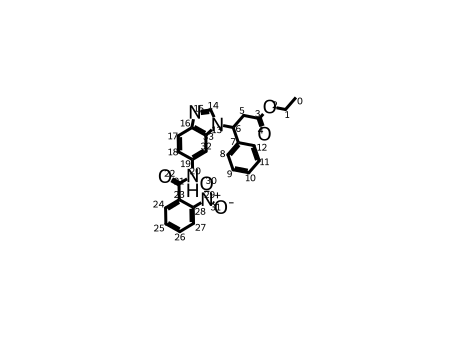 CCOC(=O)CC(c1ccccc1)n1cnc2ccc(NC(=O)c3ccccc3[N+](=O)[O-])cc21